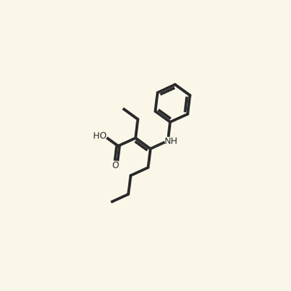 CCCCC(Nc1ccccc1)=C(CC)C(=O)O